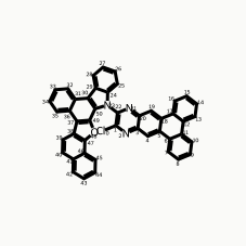 Clc1nc2cc3c4ccccc4c4ccccc4c3cc2nc1-n1c2ccccc2c2c3ccccc3c3c4ccc5ccccc5c4oc3c21